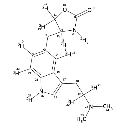 [2H]c1c(C[C@]2([2H])N([2H])C(=O)OC2([2H])[2H])c([2H])c2c(CC([2H])([2H])N(C)C)cn([2H])c2c1[2H]